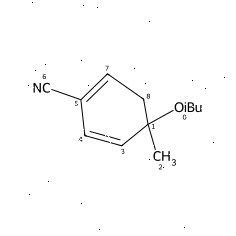 CC(C)COC1(C)C=CC(C#N)=CC1